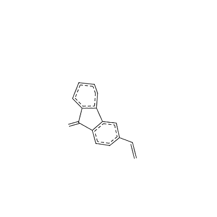 C=Cc1ccc2c(c1)-c1ccccc1C2=C